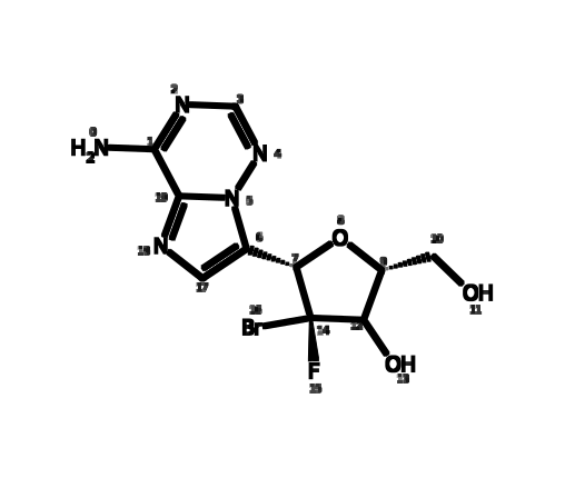 Nc1ncnn2c([C@@H]3O[C@H](CO)C(O)[C@]3(F)Br)cnc12